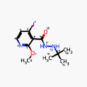 COc1nccc(I)c1C(=O)NNC(C)(C)C